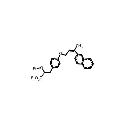 CCOC(=O)[C@H](Cc1ccc(OC/C=C(/C)c2ccc3ccccc3c2)cc1)OCC